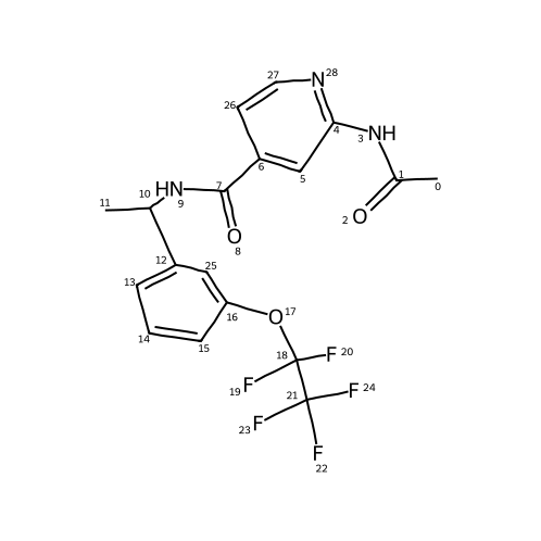 CC(=O)Nc1cc(C(=O)NC(C)c2cccc(OC(F)(F)C(F)(F)F)c2)ccn1